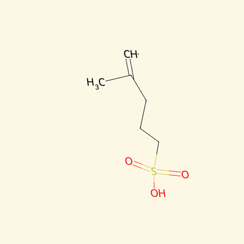 [CH]=C(C)CCCS(=O)(=O)O